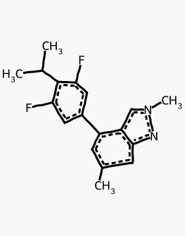 Cc1cc(-c2cc(F)c(C(C)C)c(F)c2)c2cn(C)nc2c1